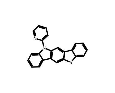 c1ccc(-n2c3ccccc3c3cc4sc5ccccc5c4cc32)nc1